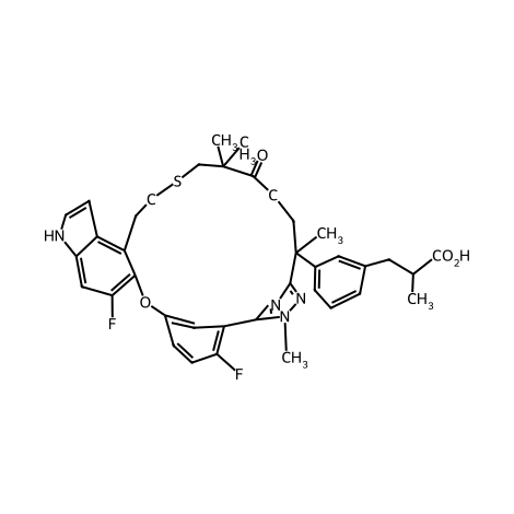 CC(Cc1cccc(C2(C)CCC(=O)C(C)(C)CSCCc3c(c(F)cc4[nH]ccc34)Oc3ccc(F)c(c3)-c3nc2nn3C)c1)C(=O)O